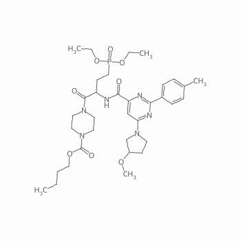 CCCCOC(=O)N1CCN(C(=O)C(CCP(=O)(OCC)OCC)NC(=O)c2cc(N3CCC(OC)C3)nc(-c3ccc(C)cc3)n2)CC1